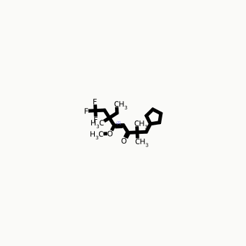 CCC(C)(CC(F)(F)F)/C(=C/C(=O)C(C)(C)CC1CCCC1)OC